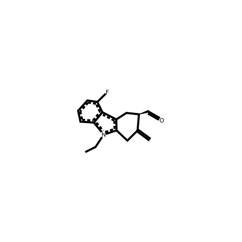 C=C1Cc2c(c3c(F)cccc3n2CC)C[C@H]1C=O